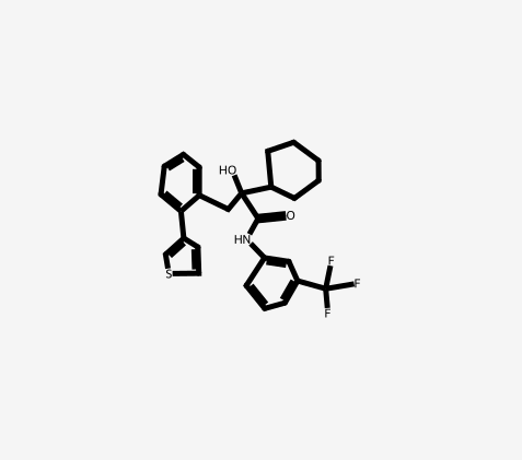 O=C(Nc1cccc(C(F)(F)F)c1)C(O)(Cc1ccccc1-c1ccsc1)C1CCCCC1